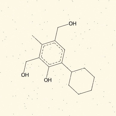 Cc1c(CO)cc(C2CCCCC2)c(O)c1CO